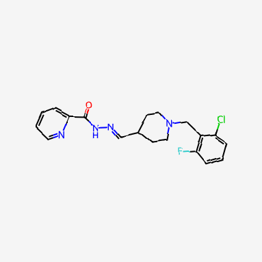 O=C(NN=CC1CCN(Cc2c(F)cccc2Cl)CC1)c1ccccn1